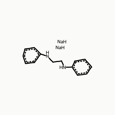 [NaH].[NaH].c1ccc(NCCNc2ccccc2)cc1